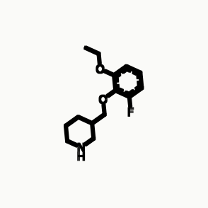 CCOc1cccc(F)c1OCC1CCCNC1